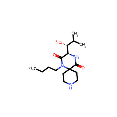 CCCCN1C(=O)[C@@H]([C@H](O)C(C)C)NC(=O)C12CCNCC2